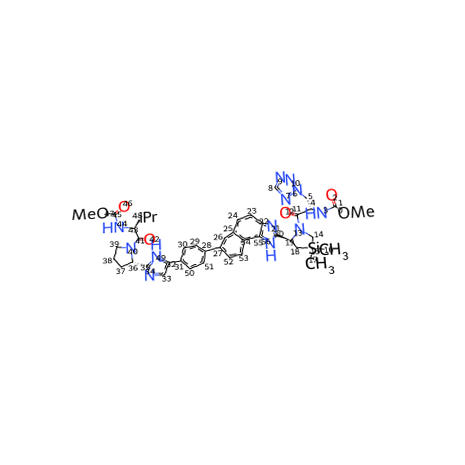 COC(=O)N[C@@H](Cn1ncnn1)C(=O)N1C[Si](C)(C)C[C@H]1c1nc2ccc3cc(-c4ccc(-c5cnc([C@@H]6CCCN6C(=O)[C@@H](NC(=O)OC)C(C)C)[nH]5)cc4)ccc3c2[nH]1